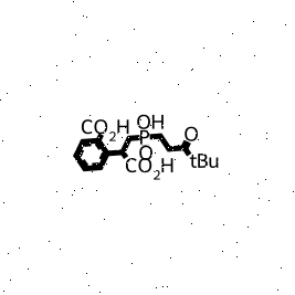 CC(C)(C)C(=O)CCP(=O)(O)CC(C(=O)O)c1ccccc1C(=O)O